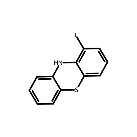 Ic1cccc2c1Nc1ccccc1S2